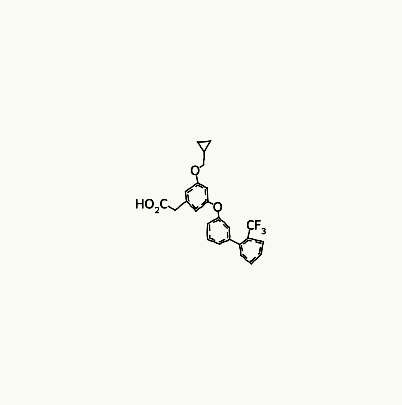 O=C(O)Cc1cc(OCC2CC2)cc(Oc2cccc(-c3ccccc3C(F)(F)F)c2)c1